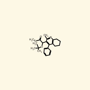 COC(=O)C(OC(C)(C)C)c1c(C)nc2c(c1-c1ccccc1)CCCC2